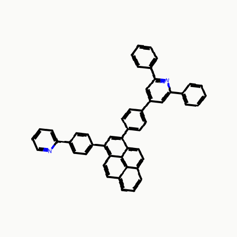 c1ccc(-c2cc(-c3ccc(-c4cc(-c5ccc(-c6ccccn6)cc5)c5ccc6cccc7ccc4c5c76)cc3)cc(-c3ccccc3)n2)cc1